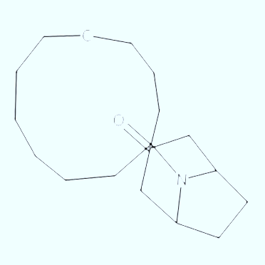 O=C1CC2CCC(C1)N2C1CCCCCCCCCC1